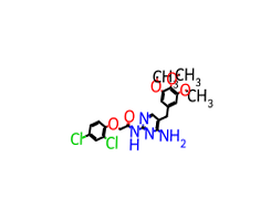 COc1cc(Cc2cnc(NC(=O)COc3ccc(Cl)cc3Cl)nc2N)cc(OC)c1OC